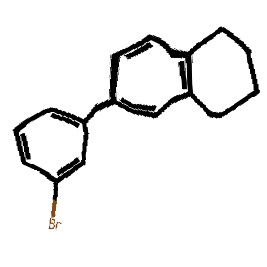 Brc1cccc(-c2ccc3c(c2)CCCC3)c1